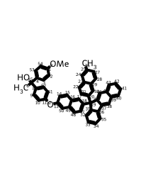 COc1ccc(C(C)(O)c2ccc(Oc3ccc4cc(C5(c6ccc7cc(C)ccc7c6)c6ccccc6-c6cc7ccccc7cc65)ccc4c3)cc2)cc1